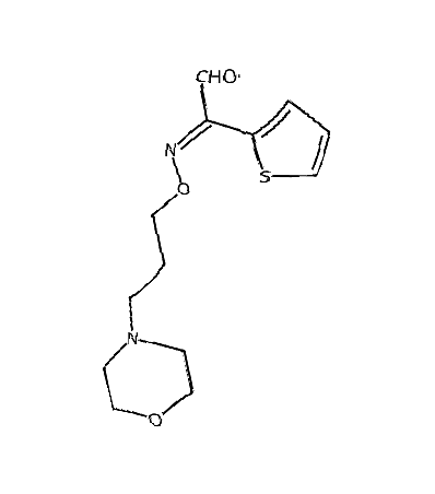 O=[C]C(=NOCCCN1CCOCC1)c1cccs1